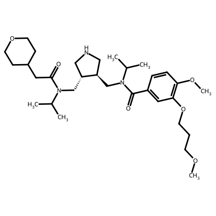 COCCCOc1cc(C(=O)N(C[C@@H]2CNC[C@H]2CN(C(=O)CC2CCOCC2)C(C)C)C(C)C)ccc1OC